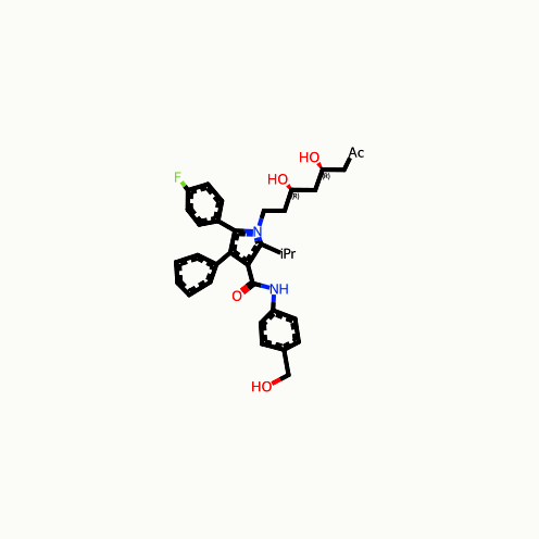 CC(=O)C[C@H](O)C[C@H](O)CCn1c(-c2ccc(F)cc2)c(-c2ccccc2)c(C(=O)Nc2ccc(CO)cc2)c1C(C)C